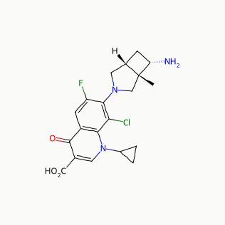 C[C@@]12CN(c3c(F)cc4c(=O)c(C(=O)O)cn(C5CC5)c4c3Cl)C[C@@H]1C[C@@H]2N